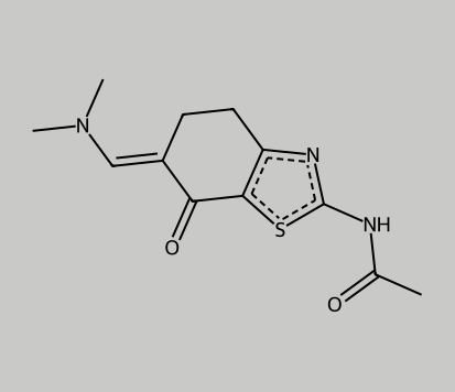 CC(=O)Nc1nc2c(s1)C(=O)C(=CN(C)C)CC2